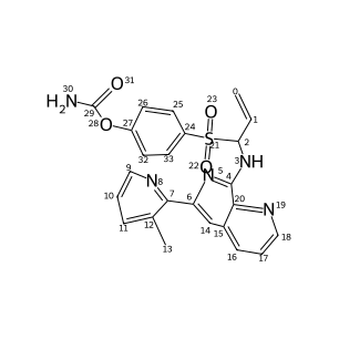 C=CC(Nc1nc(-c2ncccc2C)cc2cccnc12)S(=O)(=O)c1ccc(OC(N)=O)cc1